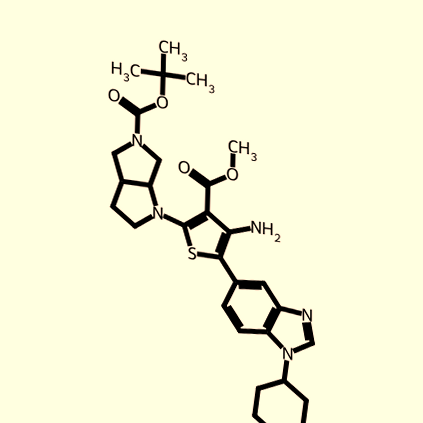 COC(=O)c1c(N2CCC3CN(C(=O)OC(C)(C)C)CC32)sc(-c2ccc3c(c2)ncn3C2CCCCC2)c1N